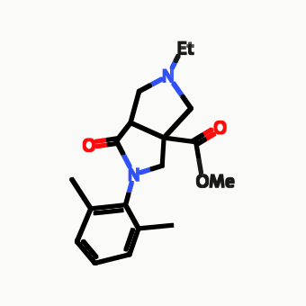 CCN1CC2C(=O)N(c3c(C)cccc3C)CC2(C(=O)OC)C1